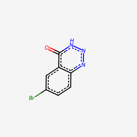 O=c1[nH]nnc2ccc(Br)cc12